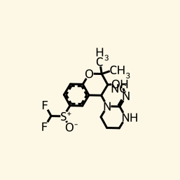 CC1(C)Oc2ccc([S+]([O-])C(F)F)cc2C(N2CCCN/C2=N/C#N)C1O